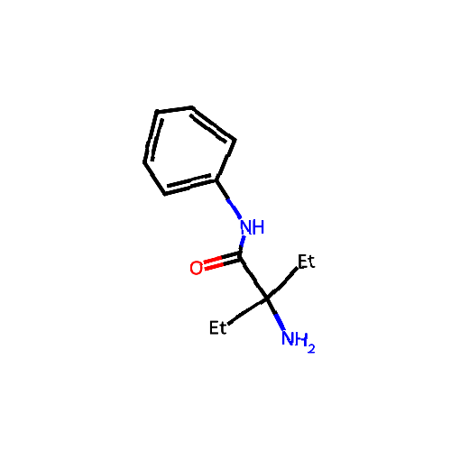 CCC(N)(CC)C(=O)Nc1ccccc1